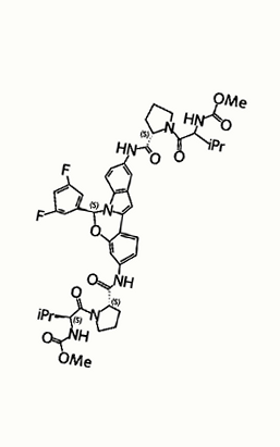 COC(=O)NC(C(=O)N1CCC[C@H]1C(=O)Nc1ccc2c(c1)cc1n2[C@H](c2cc(F)cc(F)c2)Oc2cc(NC(=O)[C@@H]3CCCN3C(=O)[C@@H](NC(=O)OC)C(C)C)ccc2-1)C(C)C